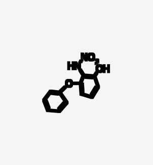 O=[N+]([O-])Nc1c(O)cccc1Oc1ccccc1